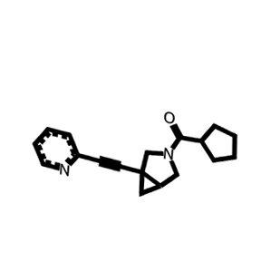 O=C(C1CCCC1)N1CC2CC2(C#Cc2ccccn2)C1